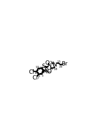 [O-][N+]1(c2nc3cc(Cl)c(Cl)cc3s2)CN(CCBr)CC1O